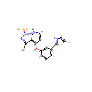 CPn1nc(Br)c2c(Oc3cccc(-c4ncc(C)s4)c3)ccnc21